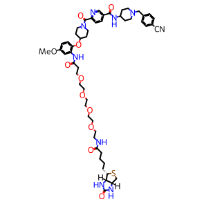 COc1ccc(OC2CCN(C(=O)c3ccc(C(=O)NC4CCN(Cc5ccc(C#N)cc5)CC4)cn3)CC2)c(NC(=O)CCOCCOCCOCCOCCNC(=O)CCCC[C@@H]2SC[C@@H]3NC(=O)N[C@@H]32)c1